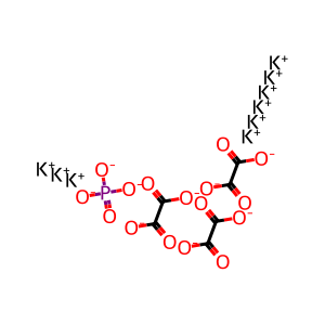 O=C([O-])C(=O)[O-].O=C([O-])C(=O)[O-].O=C([O-])C(=O)[O-].O=P([O-])([O-])[O-].[K+].[K+].[K+].[K+].[K+].[K+].[K+].[K+].[K+]